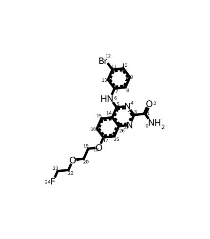 NC(=O)c1nc(Nc2cccc(Br)c2)c2c[c]c(OCCOCCF)cc2n1